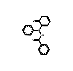 O=C1CC=CC=C1N(NC(=O)c1ccccc1)c1ccccc1